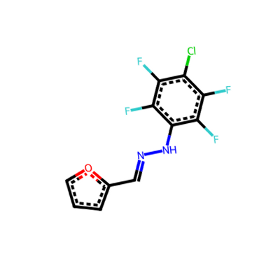 Fc1c(F)c(NN=Cc2ccco2)c(F)c(F)c1Cl